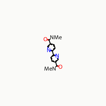 CNC(=O)c1ccc(-c2ccc(C(=O)NC)cn2)nc1